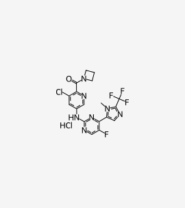 Cl.Cn1c(-c2nc(Nc3cnc(C(=O)N4CCC4)c(Cl)c3)ncc2F)cnc1C(F)(F)F